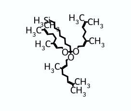 CC(C)=CCCC(C)=CCOC(CCCCCCC[SiH3])(OCC=C(C)CCC=C(C)C)OCC=C(C)CCC=C(C)C